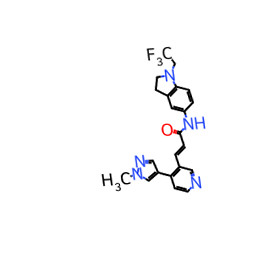 Cn1cc(-c2ccncc2C=CC(=O)Nc2ccc3c(c2)CCN3CC(F)(F)F)cn1